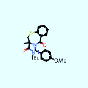 COc1ccc(CN2C(=O)c3ccccc3SCC2(C)C(=O)NC(C)(C)C)cc1